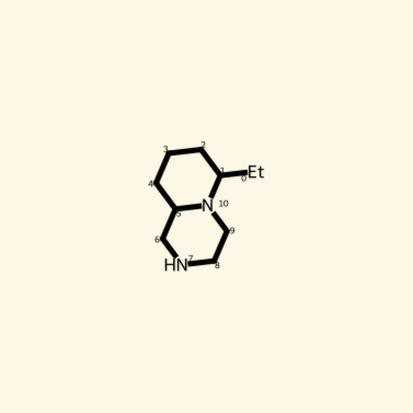 CCC1CCCC2CNCCN12